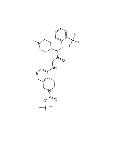 CN1CCC(N(Cc2ccccc2C(F)(F)F)C(=O)CNc2cccc3c2CCN(C(=O)OC(C)(C)C)C3)CC1